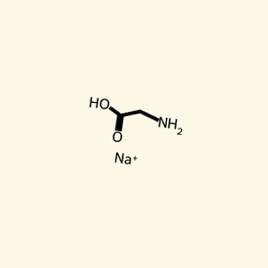 NCC(=O)O.[Na+]